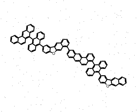 c1ccc2cc3c(cc2c1)oc1ccc(-c2c4ccccc4c(-c4cccc5c4ccc4cc6ccc(-c7cccc8cc9c(cc78)oc7ccc(-c8c%10ccccc%10c(-c%10c%11ccccc%11cc%11c%10ccc%10ccccc%10%11)c%10ccccc8%10)cc79)cc6cc45)c4ccccc24)cc13